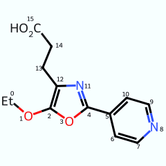 CCOc1oc(-c2ccncc2)nc1CCC(=O)O